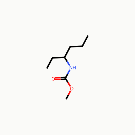 CCCC(CC)NC(=O)OC